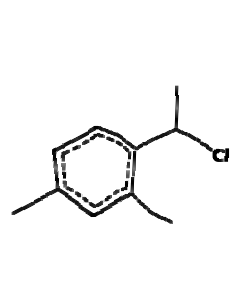 Cc1ccc(C(C)Cl)c(C)c1